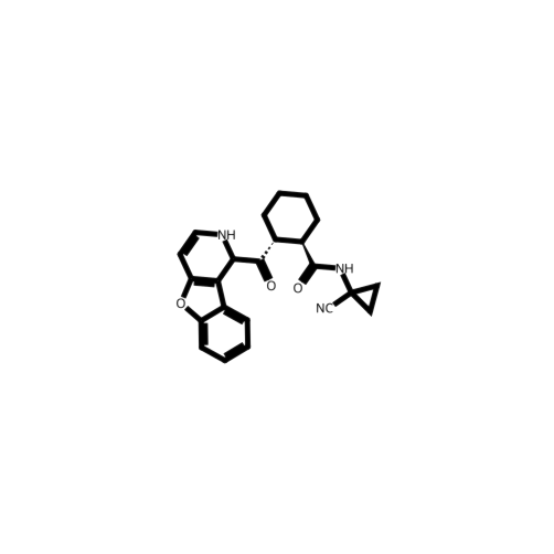 N#CC1(NC(=O)[C@@H]2CCCC[C@H]2C(=O)C2NC=Cc3oc4ccccc4c32)CC1